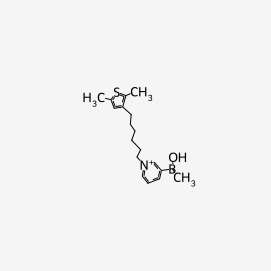 CB(O)c1ccc[n+](CCCCCCc2cc(C)sc2C)c1